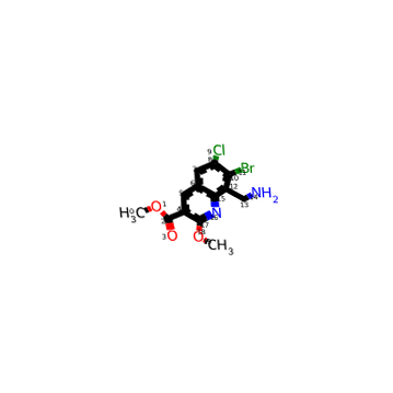 COC(=O)c1cc2cc(Cl)c(Br)c(CN)c2nc1OC